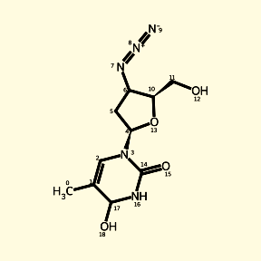 CC1=CN([C@H]2CC(N=[N+]=[N-])[C@@H](CO)O2)C(=O)NC1O